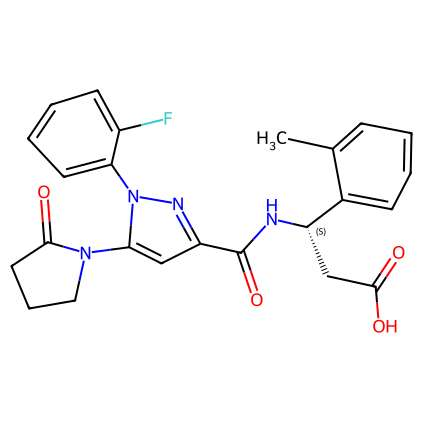 Cc1ccccc1[C@H](CC(=O)O)NC(=O)c1cc(N2CCCC2=O)n(-c2ccccc2F)n1